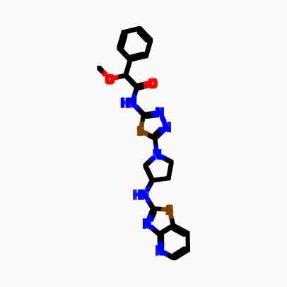 COC(C(=O)Nc1nnc(N2CCC(Nc3nc4ncccc4s3)C2)s1)c1ccccc1